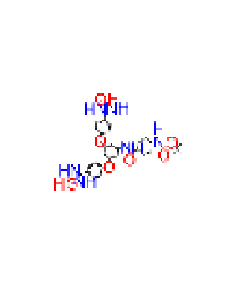 CC(C)(C)OC(=O)N[C@H]1CC[C@@H](C(=O)Nc2cc(Oc3ccc(C(=N)NO)cc3)cc(Oc3ccc(C(=N)NO)cc3)c2)CC1